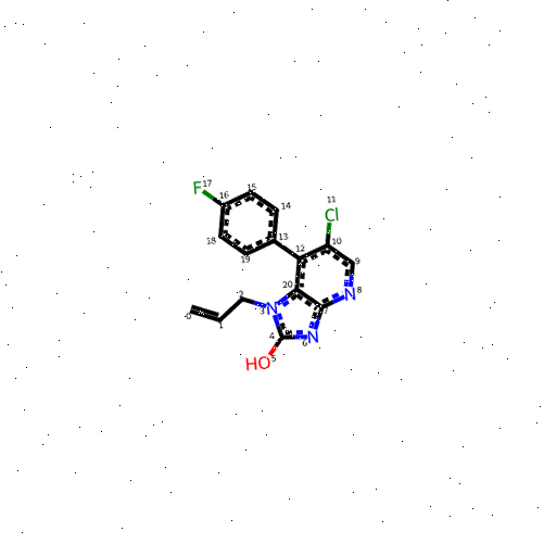 C=CCn1c(O)nc2ncc(Cl)c(-c3ccc(F)cc3)c21